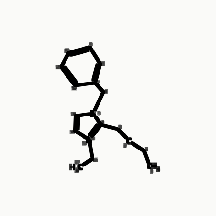 CCCCc1n(Cc2ccccc2)cc[n+]1CC